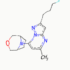 Cc1cc(N2C3CCC2COC3)n2nc(CCCF)cc2n1